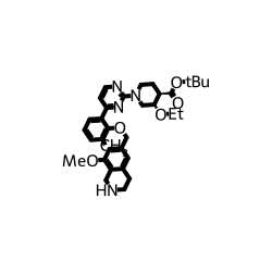 CCO[C@H]1CN(c2nccc(-c3cccc(C)c3OCc3cc4c(c(OC)c3)CNCC4)n2)CC[C@H]1C(=O)OC(C)(C)C